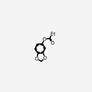 CCC(=O)Oc1ccc2c(c1)OCO2